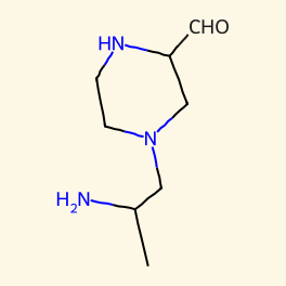 CC(N)CN1CCNC(C=O)C1